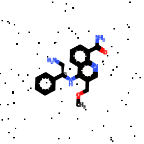 COCc1cnc2c(C(N)=O)cccc2c1N[C@H](CN)c1ccccc1